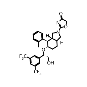 Cc1ccccc1[C@H]1[C@@H]2CN(C3=NC(=O)CO3)C[C@H]2CC[C@@H]1O[C@H](CO)c1cc(C(F)(F)F)cc(C(F)(F)F)c1